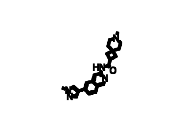 CN1CCC2(CC1)CC(C(=O)Nc1cc3cc(-c4cnn(C)c4)ccc3cn1)C2